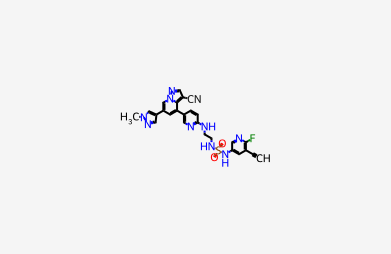 C#Cc1cc(NS(=O)(=O)NCCNc2ccc(-c3cc(-c4cnn(C)c4)cn4ncc(C#N)c34)cn2)cnc1F